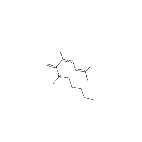 C=C(/C(C)=C\C=C(C)C)N(C)CCCCC